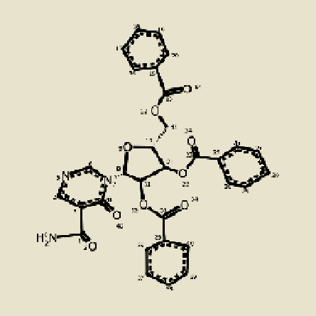 NC(=O)c1cncn([C@@H]2O[C@H](COC(=O)c3ccccc3)C(OC(=O)c3ccccc3)C2OC(=O)c2ccccc2)c1=O